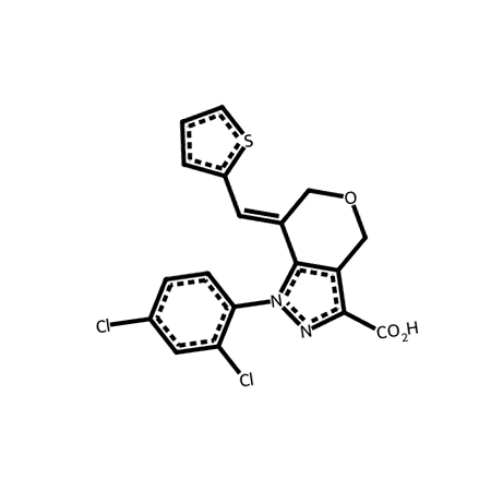 O=C(O)c1nn(-c2ccc(Cl)cc2Cl)c2c1COCC2=Cc1cccs1